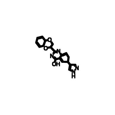 Oc1nc(C2COC3C=CC=CC3O2)nc2c1=CC(c1cn[nH]c1)CC=2